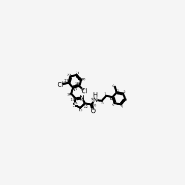 Cc1ccccc1CCNC(=O)C1CSC(Cc2c(Cl)cccc2Cl)=N1